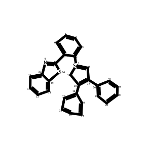 C1=[Si](c2ccccc2-c2nc3ccccc3s2)CC(c2ccccc2)=C1c1ccccc1